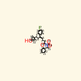 CC(C)(CC/C(=C\CCC(=O)N1C(=O)OC[C@@H]1c1ccccc1)c1ccc(F)cc1)[Si](C)(C)O